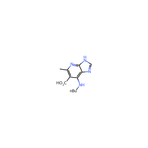 CCCCNc1c(C(=O)O)c(C)nc2[nH]cnc12